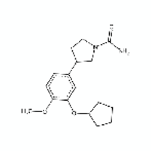 COc1ccc(C2CCN(C(N)=O)C2)cc1OC1CCCC1